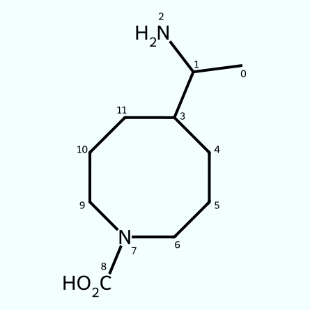 CC(N)C1CCCN(C(=O)O)CCC1